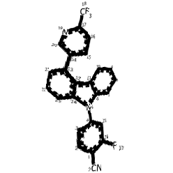 N#Cc1ccc(-n2c3ccccc3c3c(-c4ccc(C(F)(F)F)nc4)cccc32)cc1F